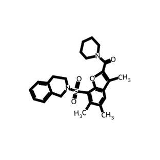 Cc1cc2c(C)c(C(=O)N3CCCCC3)oc2c(S(=O)(=O)N2CCc3ccccc3C2)c1C